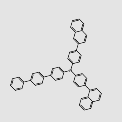 c1ccc(-c2ccc(-c3ccc(N(c4ccc(-c5ccc6ccccc6c5)cc4)c4ccc(-c5cccc6ccccc56)cc4)cc3)cc2)cc1